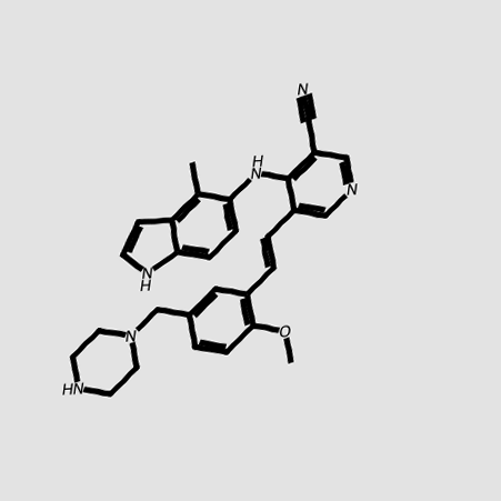 COc1ccc(CN2CCNCC2)cc1C=Cc1cncc(C#N)c1Nc1ccc2[nH]ccc2c1C